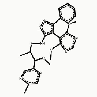 COc1ncnc(OC)c1-n1c(NSC(C)C(OC)c2cnc(C)cn2)nnc1-c1ccccn1